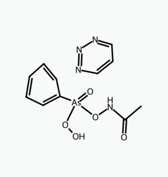 CC(=O)NO[As](=O)(OO)c1ccccc1.c1cnnnc1